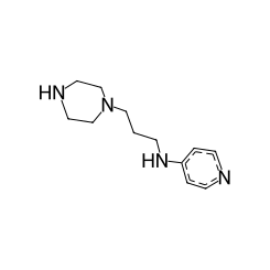 c1cc(NCCCN2CCNCC2)ccn1